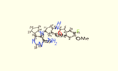 COc1ccc(CC(=O)Nc2ccc(-n3c4c(c5ncnc(N)c53)CCC4)cc2OC)cc1F